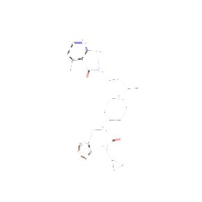 Cc1cc(F)nc(C)c1C(=O)NCCC(C)N1CCC(N(Cc2ccsc2)C(=O)NC2CC2)CC1